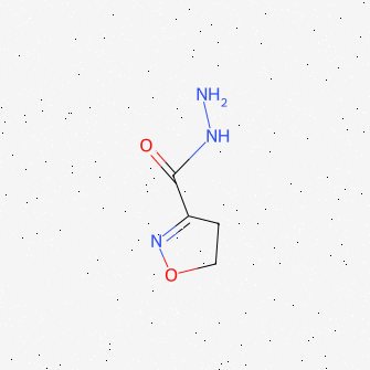 NNC(=O)C1=NOCC1